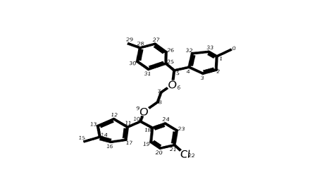 Cc1ccc(C(OCCOC(c2ccc(C)cc2)c2ccc(Cl)cc2)c2ccc(C)cc2)cc1